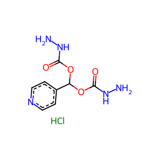 Cl.NNC(=O)OC(OC(=O)NN)c1ccncc1